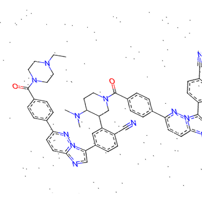 CCN1CCN(C(=O)c2ccc(-c3ccc4ncc(-c5ccc(C#N)c(C6CN(C(=O)c7ccc(-c8ccc9ncc(-c%10ccc(C#N)cc%10)n9n8)cc7)CCC6N(C)C)c5)n4n3)cc2)CC1